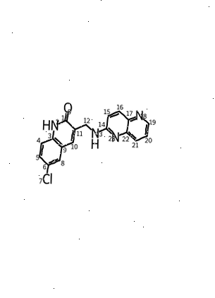 O=c1[nH]c2ccc(Cl)cc2cc1CNc1ccc2ncccc2n1